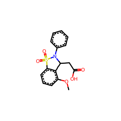 COc1cccc2c1C(CC(=O)O)N(c1ccccc1)S2(=O)=O